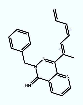 C=C/C=C\C=C(/C)c1nn(Cc2ccccc2)c(=N)c2cccnc12